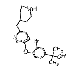 CC(C)(O)c1ccc(Oc2ccc(CC3CCNCC3)nc2)c(Br)c1